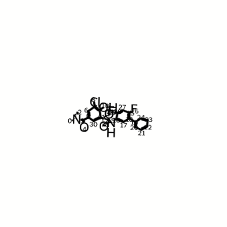 CN(C)C(=O)c1cc(Cl)c(O)c(S(=O)(=O)Nc2cc(-c3ccccc3)c(F)cc2F)c1